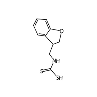 S=C(S)NCC1COc2ccccc21